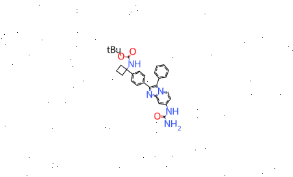 CC(C)(C)OC(=O)NC1(c2ccc(-c3nc4cc(NC(N)=O)ccn4c3-c3ccccc3)cc2)CCC1